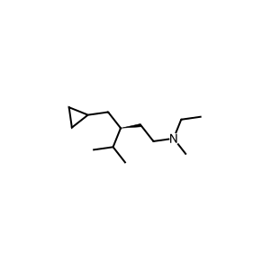 CCN(C)CC[C@H](CC1CC1)C(C)C